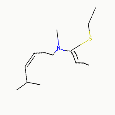 C/C=C(\SCC)N(C)C/C=C\C(C)C